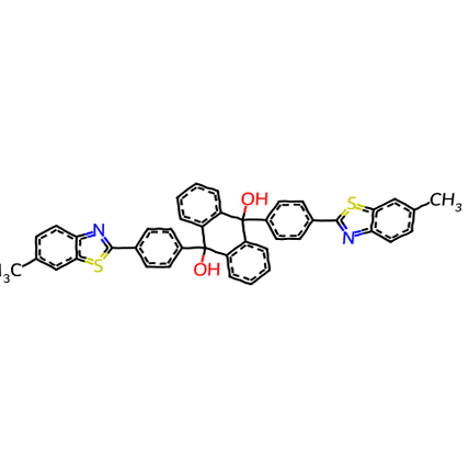 Cc1ccc2nc(-c3ccc(C4(O)c5ccccc5C(O)(c5ccc(-c6nc7ccc(C)cc7s6)cc5)c5ccccc54)cc3)sc2c1